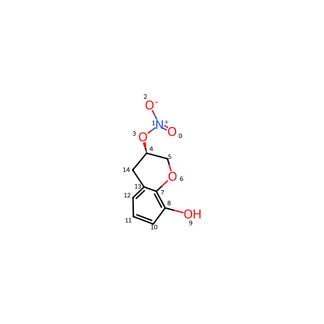 O=[N+]([O-])O[C@H]1COc2c(O)cccc2C1